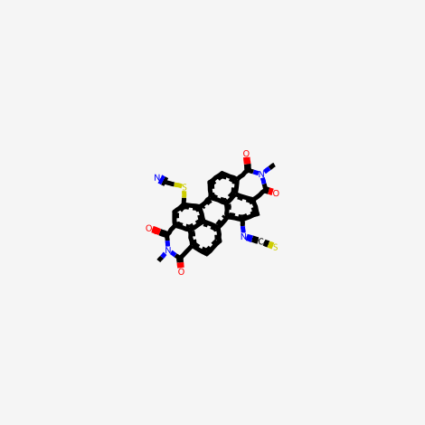 CN1C(=O)c2ccc3c4c(SC#N)cc5c6c(ccc(c7c(N=C=S)cc(c2c37)C1=O)c64)C(=O)N(C)C5=O